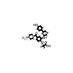 CN1CCN(C(=O)c2ccc(Cl)c(Nc3cncc(-c4ccc(O)cc4)n3)c2)CC1.O=C(O)C(F)(F)F